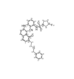 N#Cc1c(Nc2ccc3ncn(CCOCc4ccccc4)c(=O)c3c2)cccc1NS(=O)(=O)N1CCC(F)C1